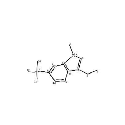 CCc1cn(C)c2cc(C(C)(C)C)ccc12